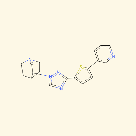 c1cncc(-c2ccc(-c3ncn(C4CN5CCC4CC5)n3)s2)c1